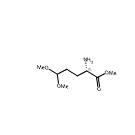 COC(=O)[C@@H](N)CCC(OC)OC